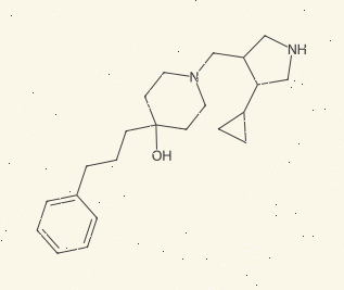 OC1(CCCc2ccccc2)CCN(CC2CNCC2C2CC2)CC1